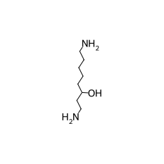 NCCCCCC(O)CCN